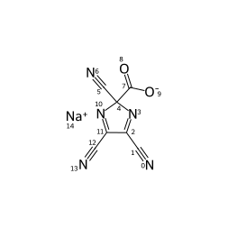 N#CC1=NC(C#N)(C(=O)[O-])N=C1C#N.[Na+]